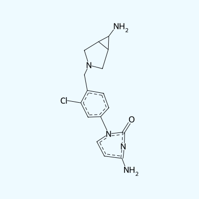 Nc1ccn(-c2ccc(CN3CC4C(N)C4C3)c(Cl)c2)c(=O)n1